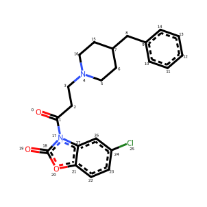 O=C(CCN1CCC(Cc2ccccc2)CC1)n1c(=O)oc2ccc(Cl)cc21